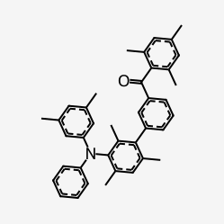 Cc1cc(C)cc(N(c2ccccc2)c2c(C)cc(C)c(-c3cccc(C(=O)c4c(C)cc(C)cc4C)c3)c2C)c1